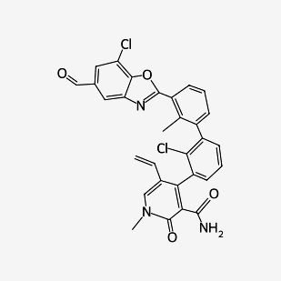 C=Cc1cn(C)c(=O)c(C(N)=O)c1-c1cccc(-c2cccc(-c3nc4cc(C=O)cc(Cl)c4o3)c2C)c1Cl